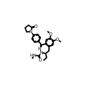 CCC1Cc2cc(OC)c(OC)cc2C(c2ccc(N3CCCC3=O)cc2)=NN1C(=O)NC